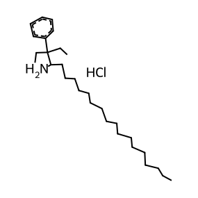 CCCCCCCCCCCCCCCCCC(N)C(CC)(CC)c1ccccc1.Cl